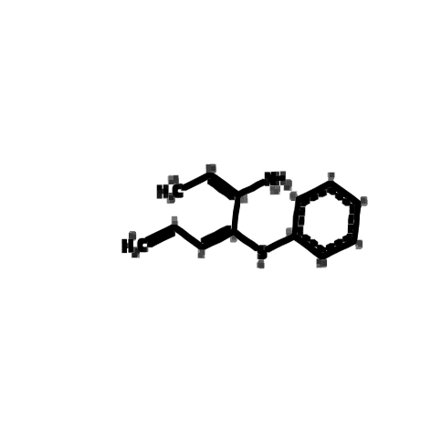 C=C/C=C(Sc1ccccc1)\C(N)=C/C